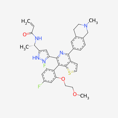 C=CC(=O)N[C@@H](C)c1cc(-c2nc(-c3ccc4c(c3)CCN(C)C4)c3ccsc3c2-c2c(F)cc(F)cc2OCCOC)n[nH]1